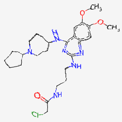 COc1cc2nc(NCCCNC(=O)CCl)nc(NC3CCN(C4CCCC4)CC3)c2cc1OC